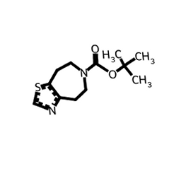 CC(C)(C)OC(=O)N1CCc2ncsc2CC1